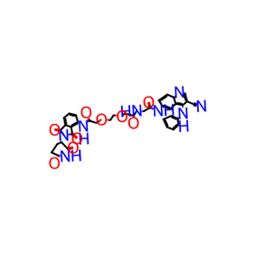 N#Cc1cnc2ccc(NC(=O)CNC(=O)COCCOCC(=O)Nc3cccc4c3C(=O)N(C3CCC(=O)NC3=O)C4=O)cc2c1Nc1ccccc1